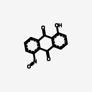 O=Nc1cccc2c1C(=O)c1cccc(O)c1C2=O